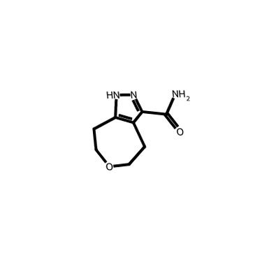 NC(=O)c1n[nH]c2c1CCOCC2